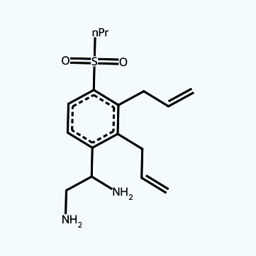 C=CCc1c(C(N)CN)ccc(S(=O)(=O)CCC)c1CC=C